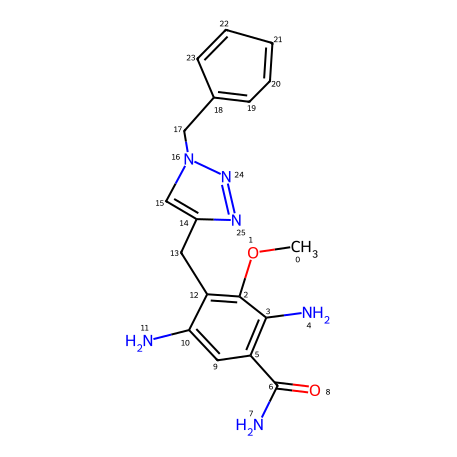 COc1c(N)c(C(N)=O)cc(N)c1Cc1cn(Cc2ccccc2)nn1